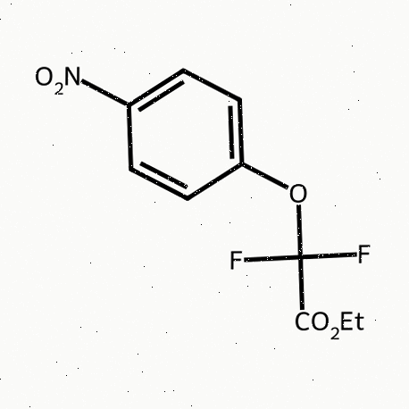 CCOC(=O)C(F)(F)Oc1ccc([N+](=O)[O-])cc1